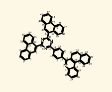 c1ccc2c(c1)cc(-c1nc(-c3ccc(-c4nc5ccccc5c5c4ccc4ccccc45)cc3)nc(-c3cc4ccccc4c4ccccc34)n1)c1ccccc12